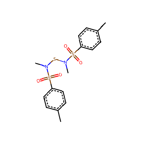 Cc1ccc(S(=O)(=O)N(C)SN(C)S(=O)(=O)c2ccc(C)cc2)cc1